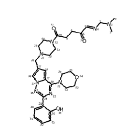 CN(C)C/N=C/C(=O)CCC(=O)N1CCN(Cc2cc3c(N4CCOCC4)nc(-c4ccccc4O)nn3c2)CC1